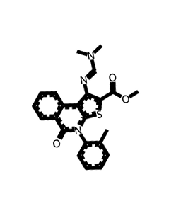 COC(=O)c1sc2c(c1N=CN(C)C)c1ccccc1c(=O)n2-c1ccccc1C